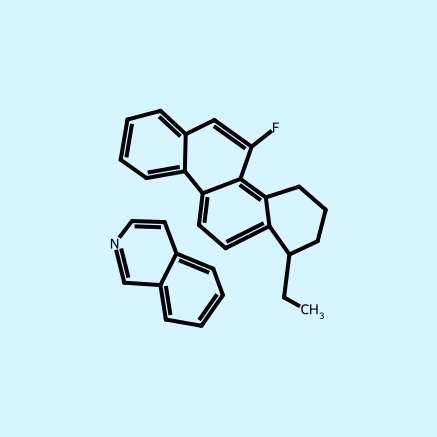 CCC1CCCc2c1ccc1c2c(F)cc2ccccc21.c1ccc2cnccc2c1